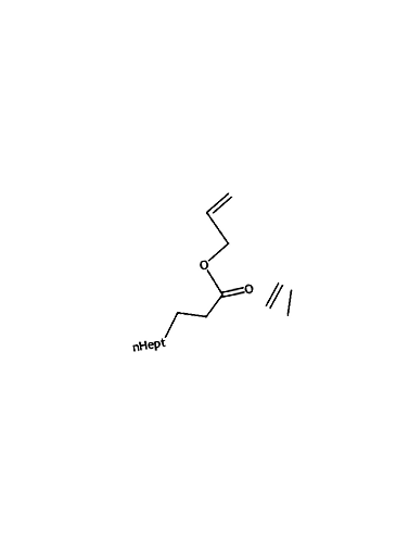 C=C.C=CCOC(=O)CCCCCCCCC.CC